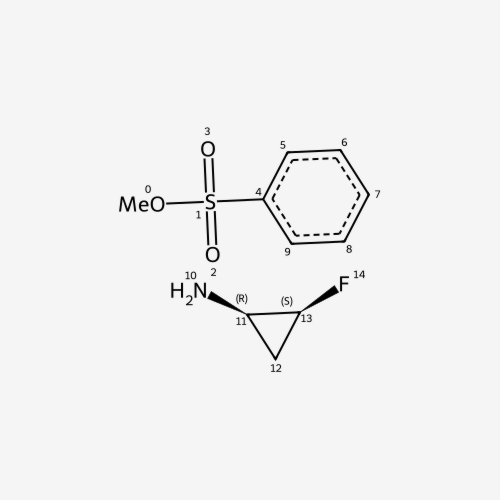 COS(=O)(=O)c1ccccc1.N[C@@H]1C[C@@H]1F